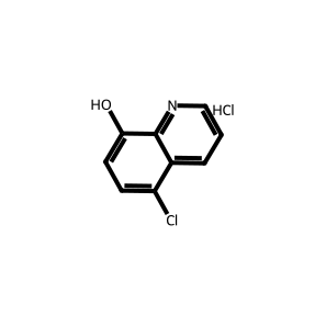 Cl.Oc1ccc(Cl)c2cccnc12